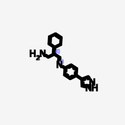 NCC(/C=N/c1ccc(-c2cn[nH]c2)cc1)=C1\C=CC=CC1